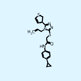 C=CCn1c(SCC(=O)Nc2ccc(C3CC3)cc2)nnc1C1C=CSC1